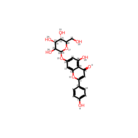 O=c1cc(-c2ccc(O)cc2)oc2cc(O[C@@H]3OC(CO)[C@@H](O)[C@H](O)C3O)cc(O)c12